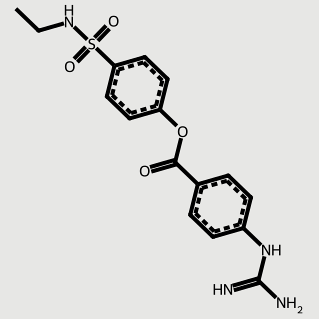 CCNS(=O)(=O)c1ccc(OC(=O)c2ccc(NC(=N)N)cc2)cc1